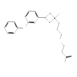 CC1(CCCOCCC(=O)O)CC(c2cccc(Oc3ccccc3)c2)C1